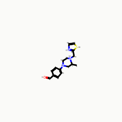 CC1CN(c2ccc(C=O)cc2)CCN1Cc1nccs1